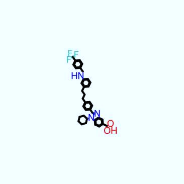 O=C(O)c1ccc2c(c1)nc(-c1ccc(CCCc3cccc(NCc4ccc(C(F)(F)F)cc4)c3)cc1)n2C1CCCCC1